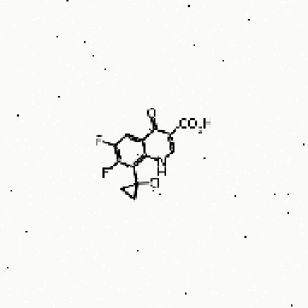 O=C(O)c1c[nH]c2c(C3(Cl)CC3)c(F)c(F)cc2c1=O